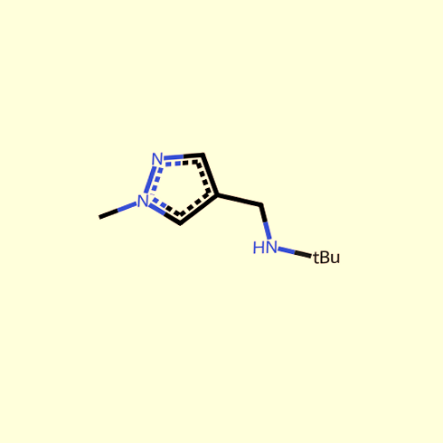 Cn1cc(CNC(C)(C)C)cn1